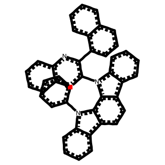 c1ccc(-n2c3ccccc3c3ccc4c5ccccc5n(-c5nc6ccccc6nc5-c5cccc6ccccc56)c4c32)cc1